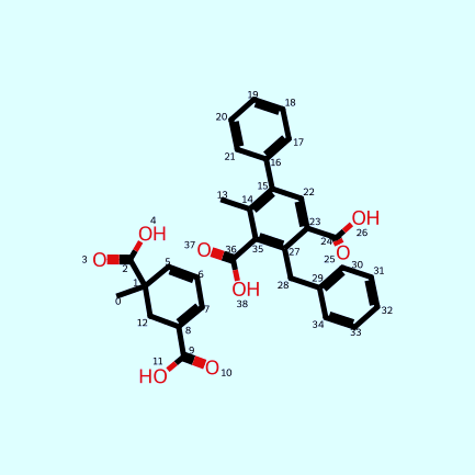 CC1(C(=O)O)C=CC=C(C(=O)O)C1.Cc1c(-c2ccccc2)cc(C(=O)O)c(Cc2ccccc2)c1C(=O)O